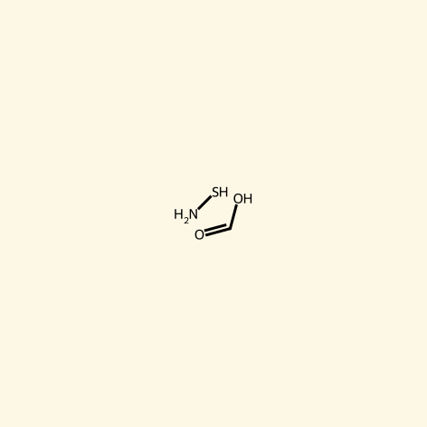 NS.O=CO